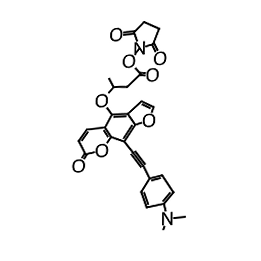 CC(CC(=O)ON1C(=O)CCC1=O)Oc1c2ccoc2c(C#Cc2ccc(N(C)C)cc2)c2oc(=O)ccc12